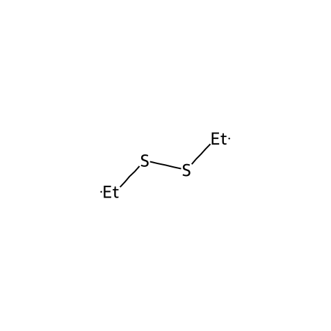 C[CH]SS[CH]C